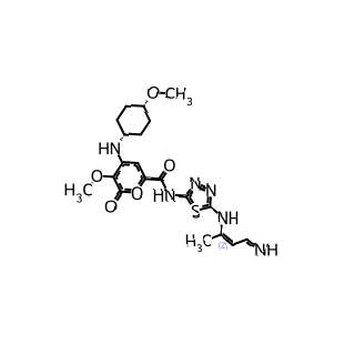 COc1c(N[C@H]2CC[C@@H](OC)CC2)cc(C(=O)Nc2nnc(N/C(C)=C\C=N)s2)oc1=O